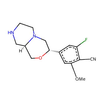 COc1cc([C@H]2CN3CCNC[C@@H]3CO2)cc(F)c1C#N